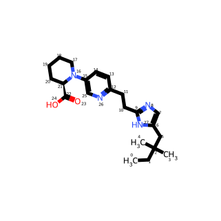 CCC(C)(C)Cc1cnc(CCc2ccc(N3CCCC[C@@H]3C(=O)O)cn2)[nH]1